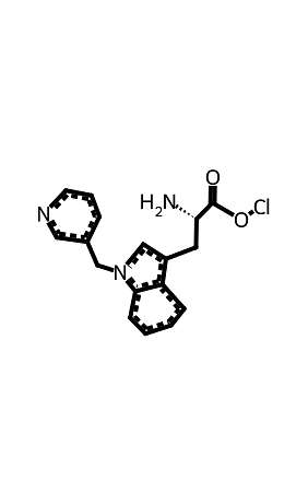 N[C@@H](Cc1cn(Cc2cccnc2)c2ccccc12)C(=O)OCl